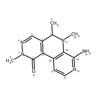 CC1c2cnn(C)c(=O)c2-c2ccnc(N)c2N1C